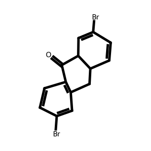 O=C1c2ccc(Br)cc2CC2C=CC(Br)=CC12